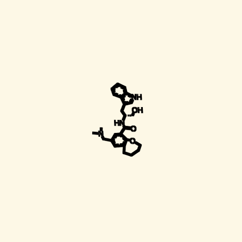 CN(C)Cc1cc2c(c(C(=O)N[C@@H](CO)Cc3c[nH]c4ccccc34)c1)OCCCC2